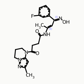 C/C(=C\C(=N/O)c1cccc(F)c1)NC(=O)CCC(=O)N1CCCn2nc(C)cc21